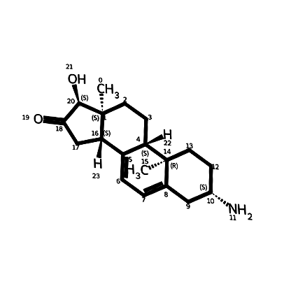 C[C@]12CC[C@H]3C(=CC=C4C[C@@H](N)CC[C@@]43C)[C@@H]1CC(=O)[C@H]2O